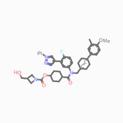 COc1ccc(C23CCC(CN(C(=O)C4CCC(OC(=O)N5CC(CO)C5)CC4)c4ccc(F)c(-c5cnn(C(C)C)c5)c4)(CC2)CC3)cc1C